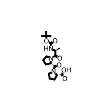 C[C@H](NC(=O)OC(C)(C)C)C(=O)N1CCC[C@H]1C(=O)N1CCC[C@H]1C(=O)O